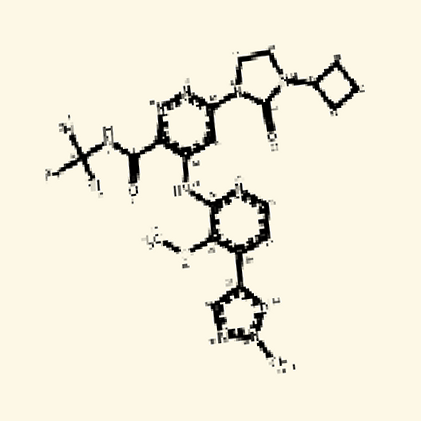 [2H]C([2H])([2H])NC(=O)c1nnc(N2CCN(C3CCC3)C2=O)cc1Nc1nccc(-c2cnn(C)n2)c1OC